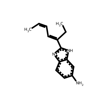 C/C=C\C=C(/CC)c1nc2ccc(N)cc2[nH]1